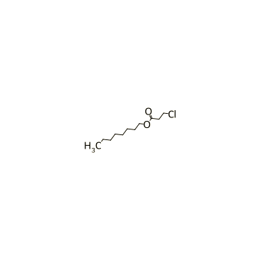 CCCCCCCCOC(=O)CCCl